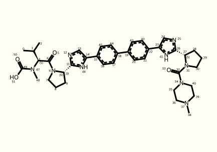 CC(C)[C@@H](C(=O)N1CCC[C@H]1c1ncc(-c2ccc(-c3ccc(-c4cnc([C@@H]5CCCN5C(=O)N5CCN(C)CC5)[nH]4)cc3)cc2)[nH]1)N(C)C(=O)O